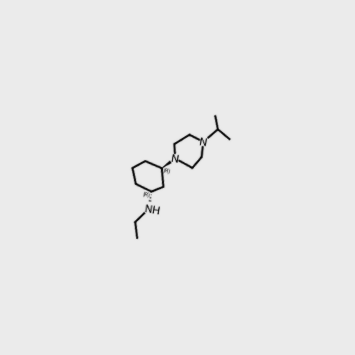 CCN[C@@H]1CCC[C@@H](N2CCN(C(C)C)CC2)C1